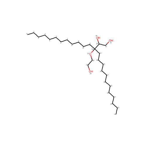 CCCCCCCCCCCCC(CCCCCCCCCCCC)(OCCO)C(O)CO